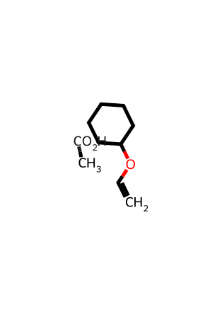 C=COC1CCCCC1.CC(=O)O